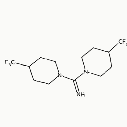 N=C(N1CCC(C(F)(F)F)CC1)N1CCC(C(F)(F)F)CC1